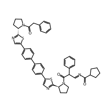 O=C(/N=C/C(C(=O)N1CCC[C@H]1c1ncc(-c2ccc(-c3ccc(-c4cnc([C@@H]5CCCN5C(=O)Cc5ccccc5)s4)cc3)cc2)s1)c1ccccc1)C1CCCC1